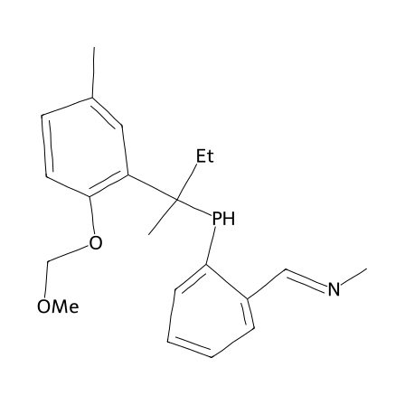 CCC(C)(Pc1ccccc1/C=N/C)c1cc(C)ccc1OCOC